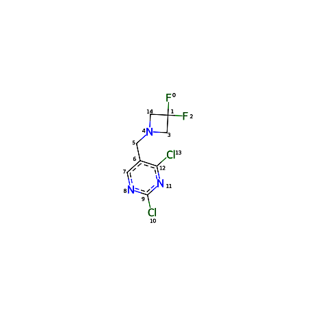 FC1(F)CN(Cc2cnc(Cl)nc2Cl)C1